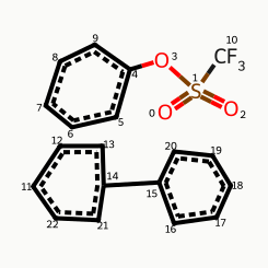 O=S(=O)(Oc1ccccc1)C(F)(F)F.c1ccc(-c2ccccc2)cc1